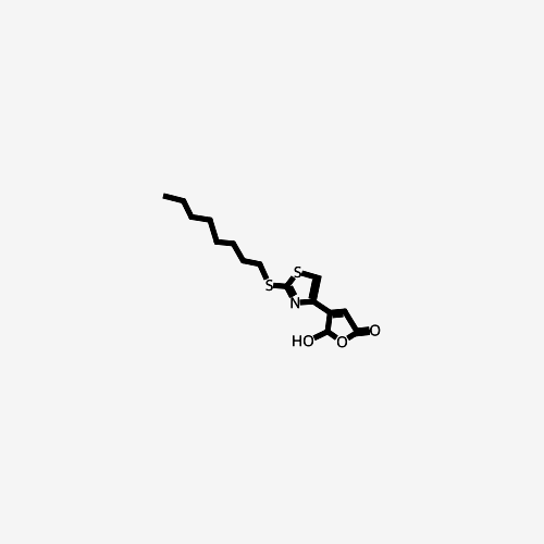 CCCCCCCCSc1nc(C2=CC(=O)OC2O)cs1